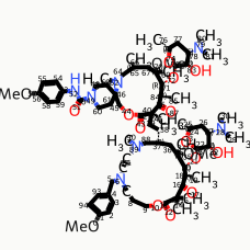 COc1ccc(CN2CCCOC(=O)C(C)(C)C(=O)[C@H](C)[C@@H](O[C@@H]3O[C@H](C)C[C@H](N(C)C)[C@H]3O)[C@](C)(OC)C[C@@H](CC[C@]3(C)C(=O)OCC4(CCN(C(=O)Nc5ccc(OC)cc5)CC4)N(C)C[C@H](C)C[C@@](C)(OC)[C@H](O[C@@H]4O[C@H](C)C[C@H](N(C)C)[C@H]4O)[C@@H](C)C3=O)CN(C)CC2)cc1